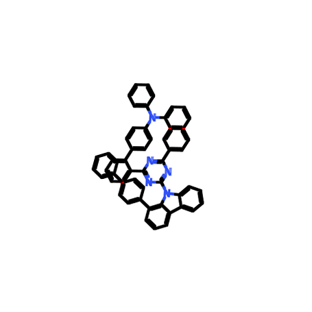 c1ccc(-c2ccc(-c3cccc4c5ccccc5n(-c5nc(-c6ccccc6)nc(-c6ccccc6-c6ccc(N(c7ccccc7)c7ccccc7)cc6)n5)c34)cc2)cc1